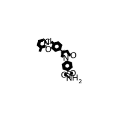 Cc1cccnc1Oc1cc([C@H]2CC(=O)N(c3ccc(S(N)(=O)=O)cc3)C2)ccc1Cl